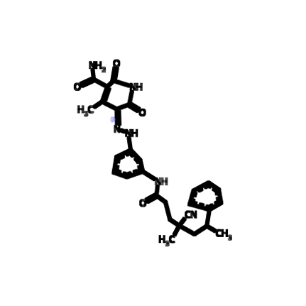 CC1=C(C(N)=O)C(=O)NC(=O)/C1=N\Nc1cccc(NC(=O)CCC(C)(C#N)CC(C)c2ccccc2)c1